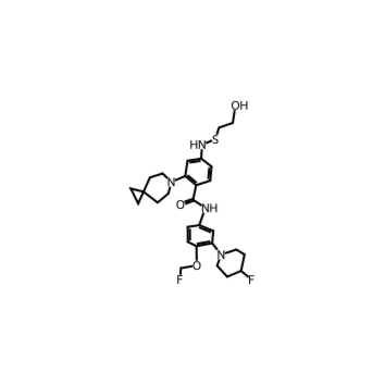 O=C(Nc1ccc(OCF)c(N2CCC(F)CC2)c1)c1ccc(NSCCO)cc1N1CCC2(CC1)CC2